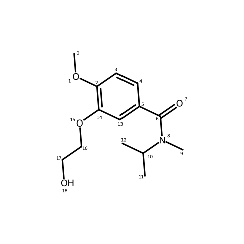 COc1ccc(C(=O)N(C)C(C)C)cc1OCCO